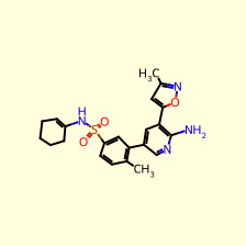 Cc1cc(-c2cc(-c3cc(S(=O)(=O)NC4=CCCCC4)ccc3C)cnc2N)on1